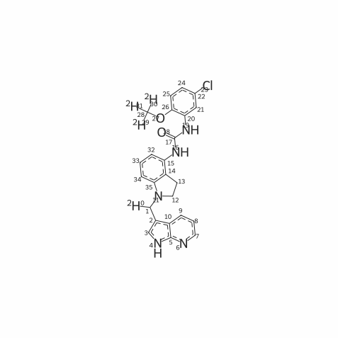 [2H]C(c1c[nH]c2ncccc12)N1CCc2c(NC(=O)Nc3cc(Cl)ccc3OC([2H])([2H])[2H])cccc21